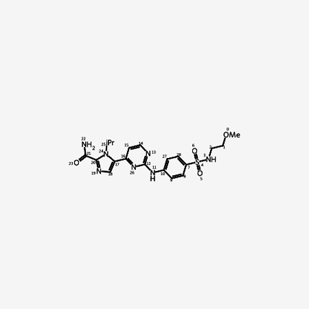 COCCNS(=O)(=O)c1ccc(Nc2nccc(-c3cnc(C(N)=O)n3C(C)C)n2)cc1